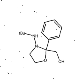 CC(C)(C)NN1CCOC1(CO)c1ccccc1